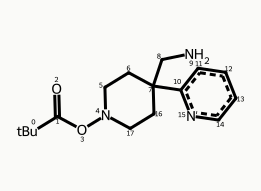 CC(C)(C)C(=O)ON1CCC(CN)(c2ccccn2)CC1